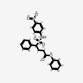 O=C(CCC(c1ccccc1)S(=O)(=O)Nc1ccc([N+](=O)[O-])cc1)Oc1ccccc1